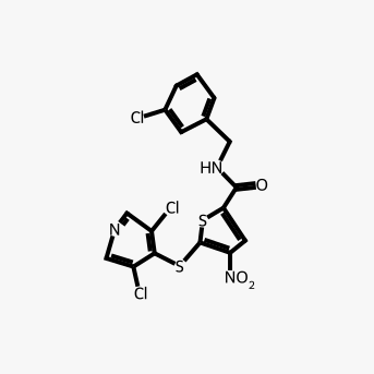 O=C(NCc1cccc(Cl)c1)c1cc([N+](=O)[O-])c(Sc2c(Cl)cncc2Cl)s1